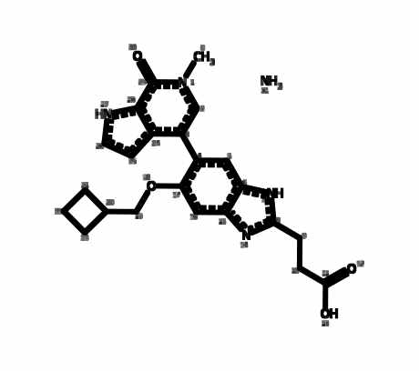 Cn1cc(-c2cc3[nH]c(CCC(=O)O)nc3cc2OCC2CCC2)c2cc[nH]c2c1=O.N